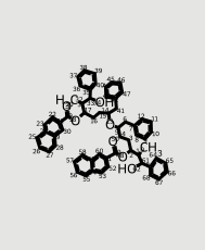 CC(C(CCC(Cc1ccccc1)OC(CCC(OC(=O)c1ccc2ccccc2c1)C(C)C(O)c1ccccc1)Cc1ccccc1)OC(=O)c1ccc2ccccc2c1)C(O)c1ccccc1